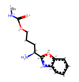 CC(C)(C)NC(=O)OCCC[C@H](N)c1nc2ccccc2o1